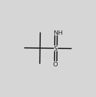 CC(C)(C)S(C)(=N)=O